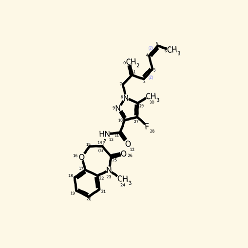 C=C(/C=C\C=C/C)Cn1nc(C(=O)N[C@H]2COc3ccccc3N(C)C2=O)c(F)c1C